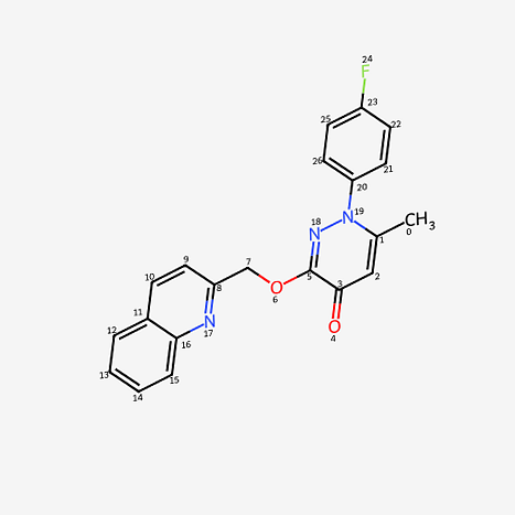 Cc1cc(=O)c(OCc2ccc3ccccc3n2)nn1-c1ccc(F)cc1